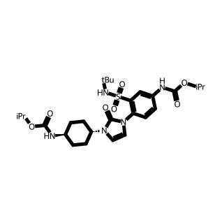 CC(C)OC(=O)Nc1ccc(-n2ccn([C@H]3CC[C@H](NC(=O)OC(C)C)CC3)c2=O)c(S(=O)(=O)NC(C)(C)C)c1